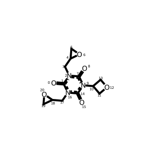 O=c1n(CC2CO2)c(=O)n(C2COC2)c(=O)n1CC1CO1